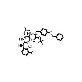 CC(C)C[C@H](NC(=O)Nc1cccc(Cl)c1Cl)C(=O)N[C@@H](Cc1ccc(OCc2ccccc2)cc1)C(=O)OC(C)(C)C